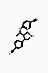 CC(Oc1ccc(C#N)cn1)C1CNCC1c1ccc(C#N)cc1